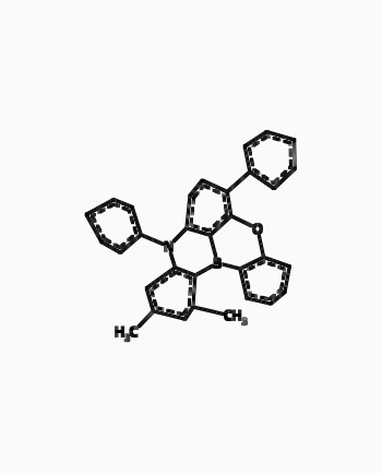 Cc1cc(C)c2c(c1)N(c1ccccc1)c1ccc(-c3ccccc3)c3c1B2c1ccccc1O3